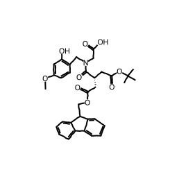 COc1ccc(CN(CC(=O)O)C(=O)[C@@H](CC(=O)OCC2c3ccccc3-c3ccccc32)CC(=O)OC(C)(C)C)c(O)c1